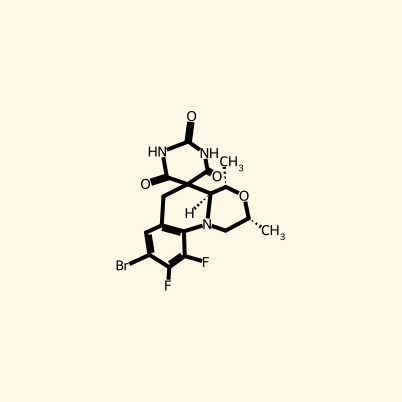 C[C@@H]1CN2c3c(cc(Br)c(F)c3F)CC3(C(=O)NC(=O)NC3=O)[C@H]2[C@H](C)O1